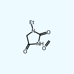 C=O.CCN1CC(=O)NC1=O